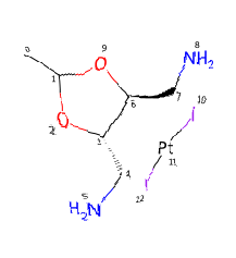 CC1O[C@@H](CN)[C@H](CN)O1.[I][Pt][I]